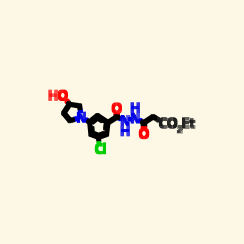 CCOC(=O)CC(=O)NNC(=O)c1cc(Cl)cc(N2CCC(O)C2)c1